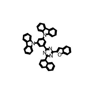 c1ccc2oc(-c3nc(-c4cc(-n5c6ccccc6c6ccccc65)cc(-n5c6ccccc6c6ccccc65)c4)nc(-c4cccc5ccccc45)n3)cc2c1